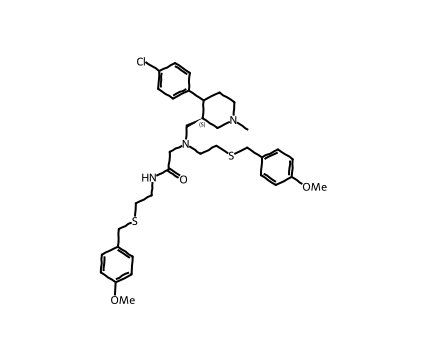 COc1ccc(CSCCNC(=O)CN(CCSCc2ccc(OC)cc2)C[C@@H]2CN(C)CCC2c2ccc(Cl)cc2)cc1